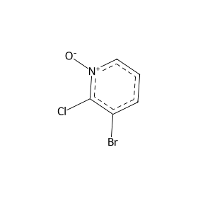 [O-][n+]1cccc(Br)c1Cl